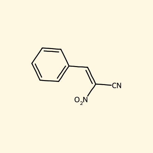 N#CC(=Cc1ccccc1)[N+](=O)[O-]